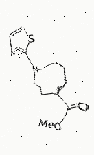 COC(=O)C1CCN(c2nccs2)CC1